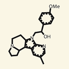 COc1ccc(C(O)Cn2c3c(c4cc(C)cnc42)C2CCCN2CC3)cc1